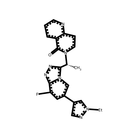 CCn1cc(-c2cc(F)c3nnc([C@@H](C)n4ccc5ncccc5c4=O)n3c2)cn1